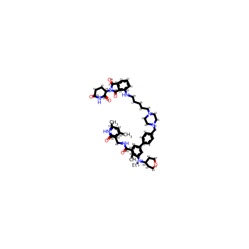 CCN(c1cc(-c2ccc(CN3CCN(CCCCCNc4cccc5c4C(=O)N(C4CCC(=O)NC4=O)C5=O)CC3)cc2)cc(C(=O)NCc2c(C)cc(C)[nH]c2=O)c1C)C1CCOCC1